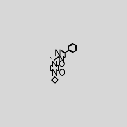 C[C@H](c1ncc(-c2ccccc2)cn1)N1CCN(C2CCC2)C(=O)C1=O